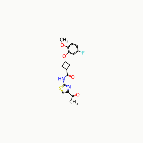 COc1ccc(F)cc1O[C@H]1C[C@H](C(=O)Nc2nc(C(C)=O)cs2)C1